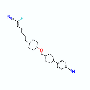 N#CC(F)=CC=CCCC1CCC(OCC2CCC(c3ccc(C#N)cc3)CC2)CC1